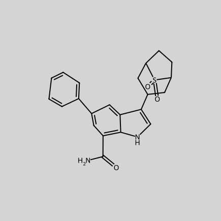 NC(=O)c1cc(-c2ccccc2)cc2c(C3CC4CCC(C3)S4(=O)=O)c[nH]c12